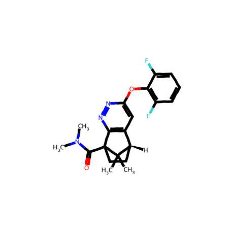 CN(C)C(=O)C12CC[C@@H](c3cc(Oc4c(F)cccc4F)nnc31)C2(C)C